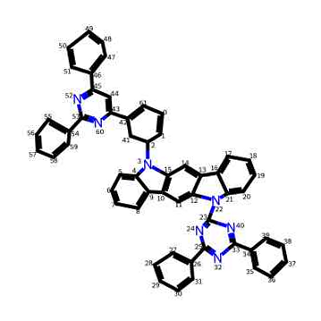 C1=CC(n2c3ccccc3c3cc4c(cc32)c2ccccc2n4-c2nc(-c3ccccc3)nc(-c3ccccc3)n2)CC(c2cc(-c3ccccc3)nc(-c3ccccc3)n2)=C1